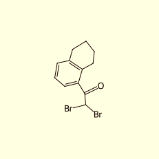 O=C(c1cccc2c1CCCC2)C(Br)Br